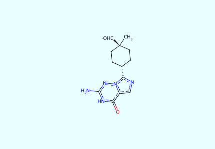 C[C@]1([C]=O)CC[C@H](c2ncc3c(=O)[nH]c(N)nn32)CC1